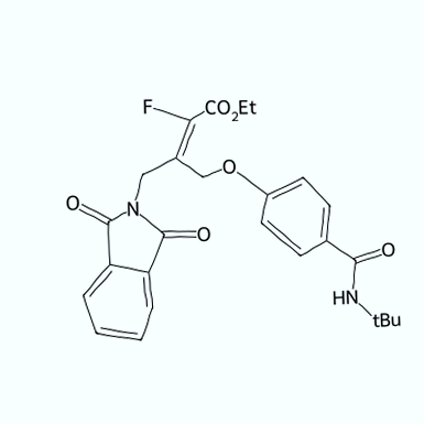 CCOC(=O)/C(F)=C(\COc1ccc(C(=O)NC(C)(C)C)cc1)CN1C(=O)c2ccccc2C1=O